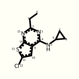 CCc1nc(NC2CC2)c2cc(Cl)sc2n1